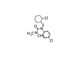 CN(C)C(=O)N(SC1CCCCC1Cl)c1ccc(Cl)cc1